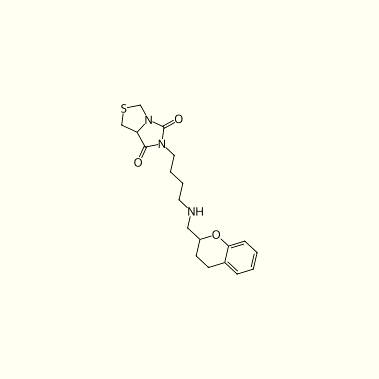 O=C1C2CSCN2C(=O)N1CCCCNCC1CCc2ccccc2O1